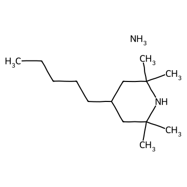 CCCCCC1CC(C)(C)NC(C)(C)C1.N